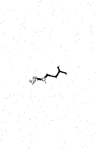 CC(C)CCOPP